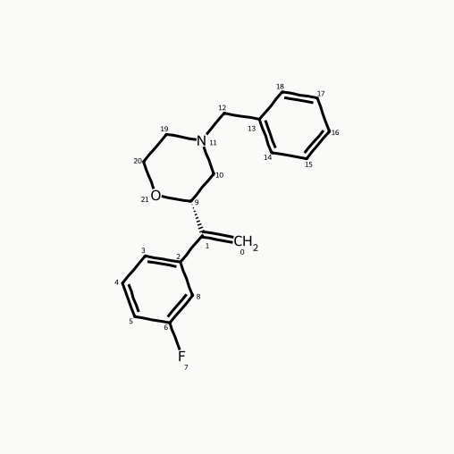 C=C(c1cccc(F)c1)[C@H]1CN(Cc2ccccc2)CCO1